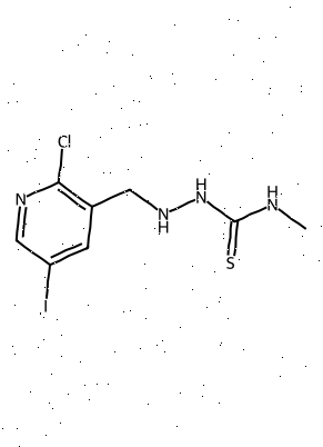 CNC(=S)NNCc1cc(I)cnc1Cl